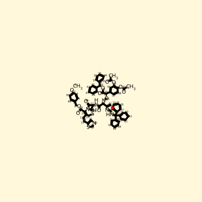 COc1ccc(COC(=O)C2=C(/C=C\c3cncs3)CS[C@H]3[C@H](NC(=O)C(=NO[C@@H](C(=O)OC(c4ccccc4)c4ccccc4)c4ccc(OC(C)=O)c(OC(C)=O)c4)c4csc(NC(c5ccccc5)(c5ccccc5)c5ccccc5)n4)C(=O)N23)cc1